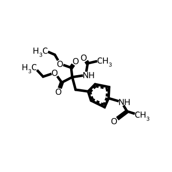 CCOC(=O)C(Cc1ccc(NC(C)=O)cc1)(NC(C)=O)C(=O)OCC